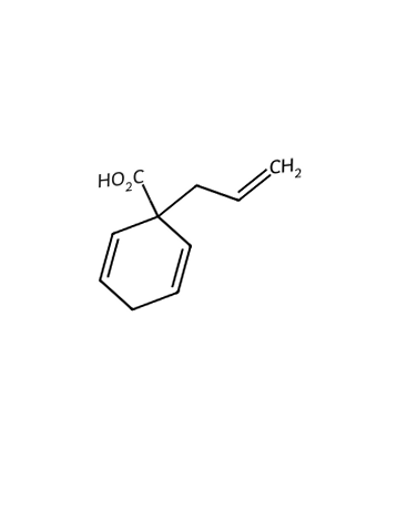 C=CCC1(C(=O)O)C=CCC=C1